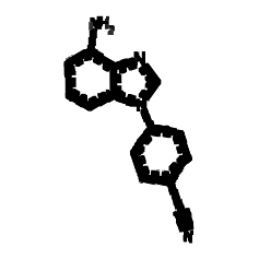 N#Cc1ccc(-n2cnc3c(N)cccc32)cc1